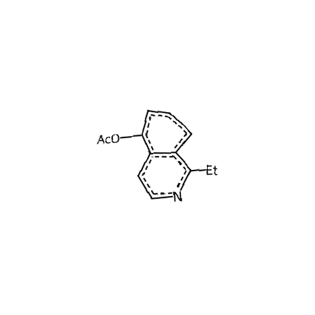 CCc1nccc2c(OC(C)=O)cccc12